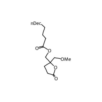 CCCCCCCCCCCCCC(=O)OCC1(COC)CCC(=O)O1